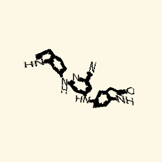 N#Cc1cc(Nc2ccc3c(c2)CC(=O)N3)cc(Nc2ccc3cc[nH]c3c2)n1